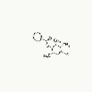 CCC1=CC(C)C(OC(=O)c2ccccc2)C(C)C1C